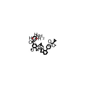 COc1cc(C(=O)N2C[C@H]3CC[C@@H]2C[C@@H]3N)cc2nc(-c3cc4cccc(C5CCN(C(=O)C(OC)C6CC6)CC5)c4n3CC3CC3)n(C)c12